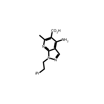 Cc1nc2c(cnn2CCC(C)C)c(N)c1C(=O)O